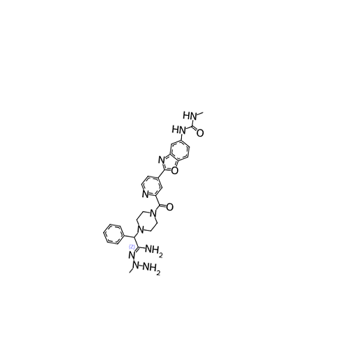 CNC(=O)Nc1ccc2oc(-c3ccnc(C(=O)N4CCN(C(/C(N)=N/N(C)N)c5ccccc5)CC4)c3)nc2c1